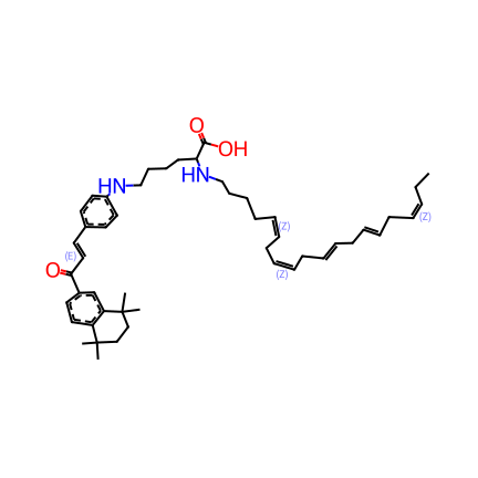 CC/C=C\CC=CCC=CC/C=C\C/C=C\CCCCNC(CCCCNc1ccc(/C=C/C(=O)c2ccc3c(c2)C(C)(C)CCC3(C)C)cc1)C(=O)O